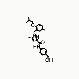 Cc1cc(C(=O)Nc2ccc(CO)cc2)nn1Cc1cc(Cl)ccc1OCC(C)C